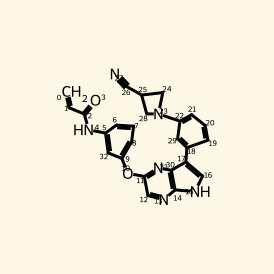 C=CC(=O)Nc1cccc(Oc2cnc3[nH]cc(-c4cccc(N5CC(C#N)C5)c4)c3n2)c1